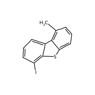 Cc1cccc2sc3c(I)cccc3c12